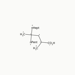 CCCCCCCC(C)(CCCCC)CC(C)C(=O)O